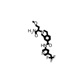 COCCC(C(N)=O)N1CCc2ccc(C(=O)Nc3cncc(CC(F)(F)F)c3)cc2C1